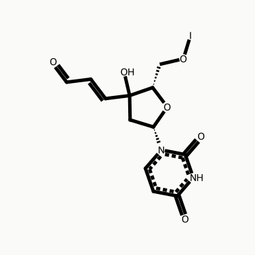 O=CC=CC1(O)C[C@@H](n2ccc(=O)[nH]c2=O)O[C@H]1COI